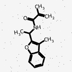 C=C(C)C(=O)NC(C)c1oc2ccccc2c1C